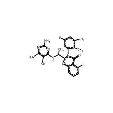 Cc1cc(F)cc(-n2c(C(C)Nc3nc(N)nc(N)c3C#N)nc3cccc(Cl)c3c2=O)c1C